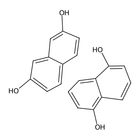 Oc1ccc2ccc(O)cc2c1.Oc1cccc2c(O)cccc12